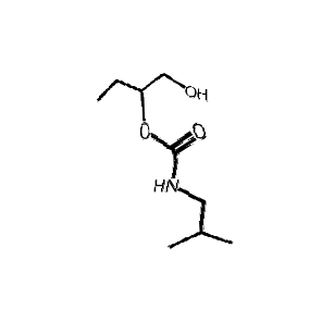 CCC(CO)OC(=O)NCC(C)C